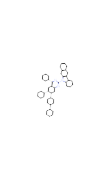 c1ccc(-c2ccc(-c3cc4nc(-n5c6ccccc6c6cc7ccccc7cc65)nc(-c5ccccc5)c4cc3-c3ccccc3)cc2)cc1